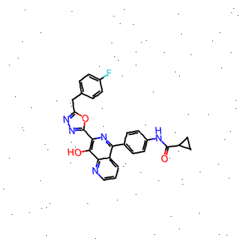 O=C(Nc1ccc(-c2nc(-c3nnc(Cc4ccc(F)cc4)o3)c(O)c3ncccc23)cc1)C1CC1